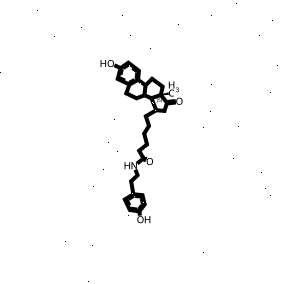 C[C@]12CCC3c4ccc(O)cc4CCC3C1C(CCCCCC(=O)NCCc1ccc(O)cc1)CC2=O